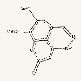 COc1cc2c3c(cc(=O)oc3c1OC)NN=C2